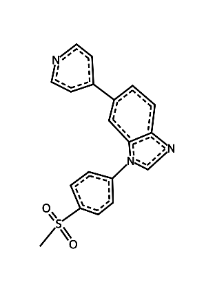 CS(=O)(=O)c1ccc(-n2cnc3ccc(-c4ccncc4)cc32)cc1